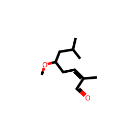 COC(CC=C(C)C=O)CC(C)C